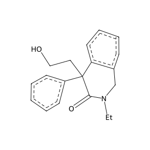 CCN1Cc2ccccc2C(CCO)(c2ccccc2)C1=O